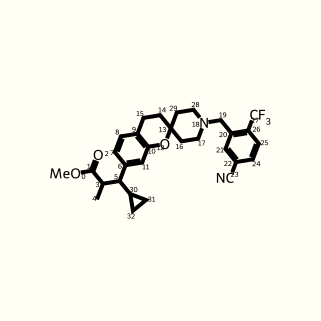 COC(=O)C(C)C(c1ccc2c(c1)OC1(CC2)CCN(Cc2cc(C#N)ccc2C(F)(F)F)CC1)C1CC1